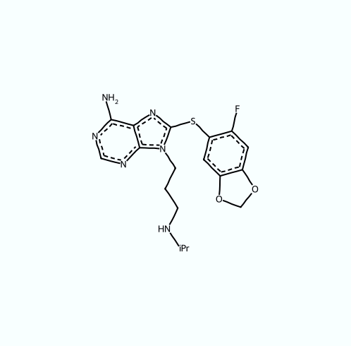 CC(C)NCCCn1c(Sc2cc3c(cc2F)OCO3)nc2c(N)ncnc21